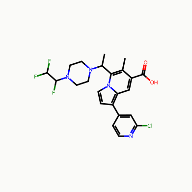 Cc1c(C(=O)O)cc2c(-c3ccnc(Cl)c3)ccn2c1C(C)N1CCN(C(F)C(F)F)CC1